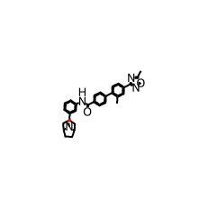 Cc1nc(-c2ccc(-c3ccc(C(=O)Nc4cccc(C5CC6CCC(C5)N6C)c4)cc3)c(C)c2)no1